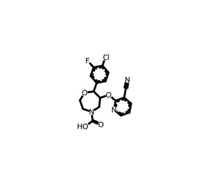 N#Cc1cccnc1OC1CN(C(=O)O)CCOC1c1ccc(Cl)c(F)c1